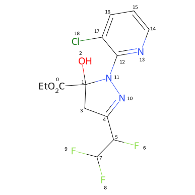 CCOC(=O)C1(O)CC(C(F)C(F)F)=NN1c1ncccc1Cl